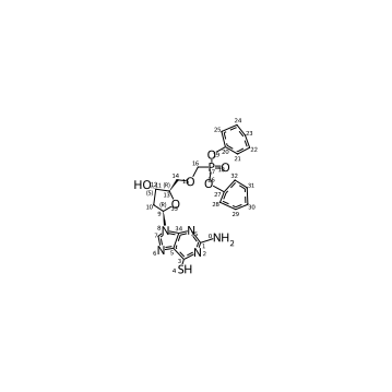 Nc1nc(S)c2ncn([C@H]3C[C@H](O)[C@@H](COCP(=O)(Oc4ccccc4)Oc4ccccc4)O3)c2n1